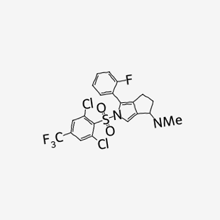 CNC1CCc2c1cn(S(=O)(=O)c1c(Cl)cc(C(F)(F)F)cc1Cl)c2-c1ccccc1F